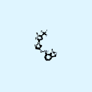 Cn1nc(-n2cc(SNc3cccc4cnn(C)c34)cn2)cc1C(F)(F)F